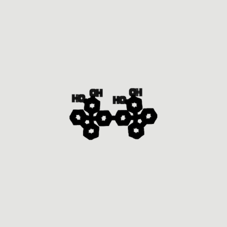 Oc1ccc(C2(c3ccc(-c4ccc(C5(c6ccc(O)c(O)c6)c6ccccc6-c6ccccc65)cc4)cc3)c3ccccc3-c3ccccc32)cc1O